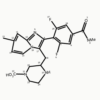 CNC(=O)c1cc(F)c(-c2nc3cc(C)ccn3c2CC2CN(C(=O)O)CCN2)c(F)c1